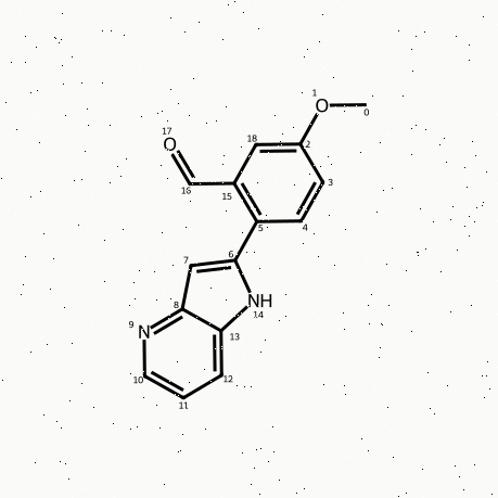 COc1ccc(-c2cc3ncccc3[nH]2)c(C=O)c1